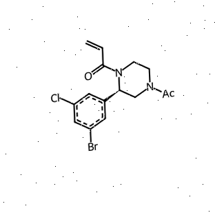 C=CC(=O)N1CCN(C(C)=O)C[C@H]1c1cc(Cl)cc(Br)c1